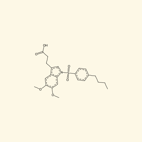 CCCCc1ccc(S(=O)(=O)n2cc(CCC(=O)O)c3cc(OC)c(OC)cc32)cc1